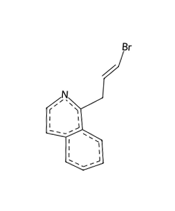 BrC=CCc1nccc2ccccc12